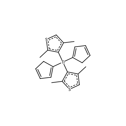 Cc1csc(C)[c]1[Ti]([C]1=CC=CC1)([C]1=CC=CC1)[c]1c(C)csc1C